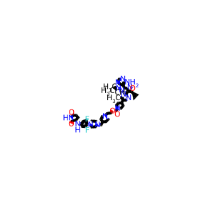 Cc1nc(-c2c(-c3nn(C(C)(C)C)c4ncnc(N)c34)noc2C2CC2)ncc1C1CCN(C(=O)OCCN2CCC(CN3CCN(c4c(F)cc(NC5CCC(=O)NC5=O)cc4F)CC3)CC2)CC1